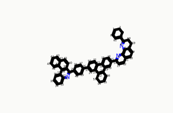 C1=CCCC(C2=Nc3c(ccc4ccc(-c5ccc6c(c5)c5c(c7cc(-c8ccc(-c9nc%10ccccc%10c%10c9ccc9ccccc9%10)cc8)ccc76)CCC=C5)nc34)CC2)=C1